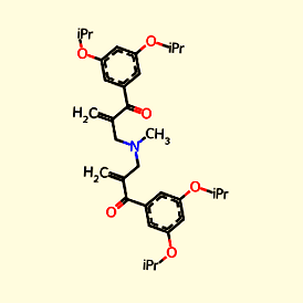 C=C(CN(C)CC(=C)C(=O)c1cc(OC(C)C)cc(OC(C)C)c1)C(=O)c1cc(OC(C)C)cc(OC(C)C)c1